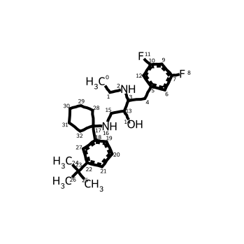 CCNC(Cc1cc(F)cc(F)c1)C(O)CNC1(c2cccc(C(C)(C)C)c2)CCCCC1